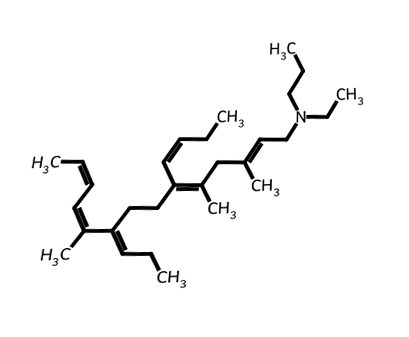 C\C=C/C=C(C)\C(=C\CC)CCC(/C=C\CC)=C(\C)C/C(C)=C/CN(CC)CCC